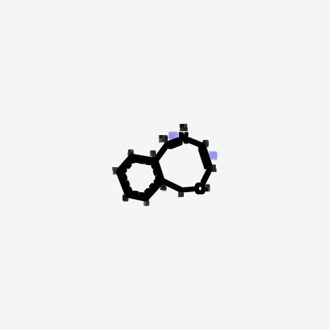 C1=C\OCc2ccccc2\C=N/1